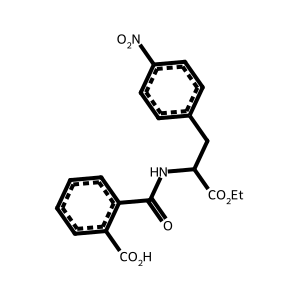 CCOC(=O)C(Cc1ccc([N+](=O)[O-])cc1)NC(=O)c1ccccc1C(=O)O